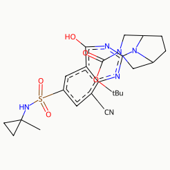 CC1(NS(=O)(=O)c2cc(C#N)c3nc(N4C5CCC4CN(C(=O)OC(C)(C)C)C5)nc(O)c3c2)CC1